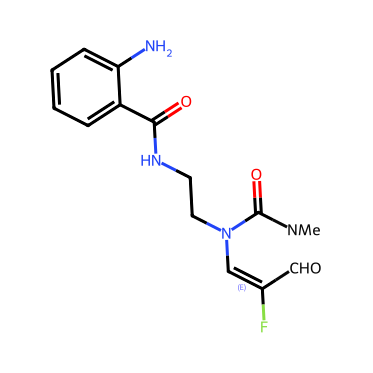 CNC(=O)N(/C=C(/F)C=O)CCNC(=O)c1ccccc1N